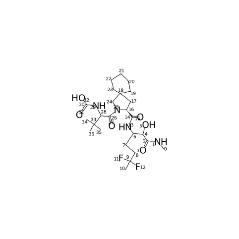 CNC(=O)C(O)C(CCC(C)(F)F)NC(=O)[C@@H]1CC2(CCCCC2)CN1C(=O)C(NC(=O)O)C(C)(C)C